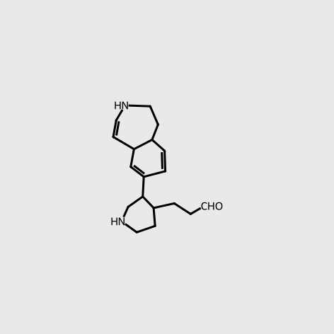 O=CCCC1CCNCC1C1=CC2C=CNCCC2C=C1